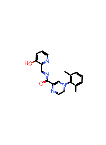 Cc1cccc(C)c1N1C=C(C(=O)N=Cc2ncccc2O)N=CC1